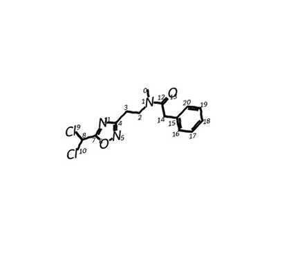 CN(CCc1noc(C(Cl)Cl)n1)C(=O)Cc1ccccc1